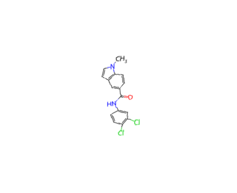 Cn1ccc2cc(C(=O)Nc3ccc(Cl)c(Cl)c3)ccc21